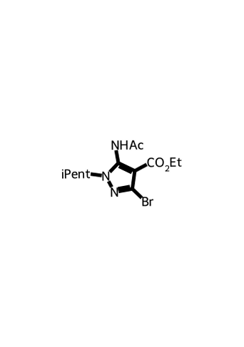 CCCC(C)n1nc(Br)c(C(=O)OCC)c1NC(C)=O